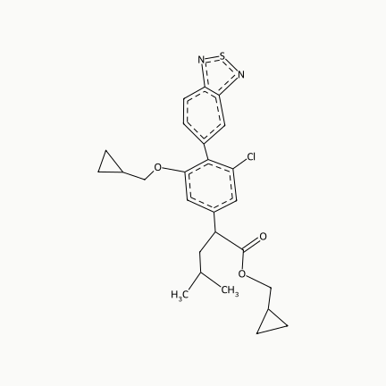 CC(C)CC(C(=O)OCC1CC1)c1cc(Cl)c(-c2ccc3nsnc3c2)c(OCC2CC2)c1